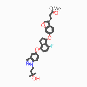 COC(=O)CC[C@@H]1COc2cc(O[C@@H]3CCc4c(Oc5ccc6c(cnn6CCC(C)(C)O)c5)ccc(F)c43)ccc21